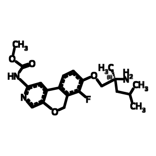 COC(=O)Nc1cc2c(cn1)OCc1c-2ccc(OC[C@@](C)(N)CC(C)C)c1F